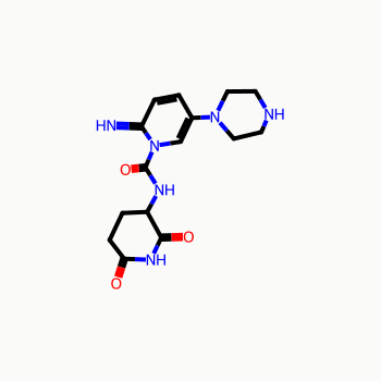 N=c1ccc(N2CCNCC2)cn1C(=O)NC1CCC(=O)NC1=O